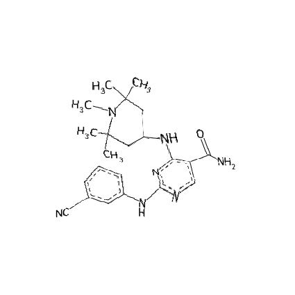 CN1C(C)(C)CC(Nc2nc(Nc3cccc(C#N)c3)ncc2C(N)=O)CC1(C)C